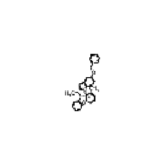 CCC(c1ccccc1)[C@]1(n2ccc3cc(OCc4ccccc4)ccc32)C(C)=CC=C[C@@H]1O